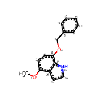 COc1ccc(OCc2ccccc2)c2[nH]ccc12